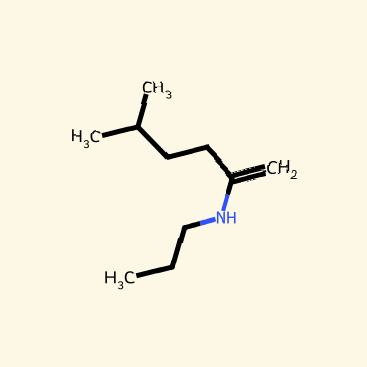 C=C(CCC(C)C)NCCC